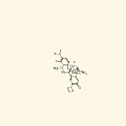 C[C@@H](NC(=O)c1cn(C2CCC2)c(=O)cc1N[C@@H]1[C@@H]2CC[C@H]1CN(C)C2)c1cccc(C(F)F)c1F